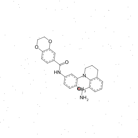 Cc1ccc(NC(=O)c2ccc3c(c2)OCCO3)cc1N1CCCc2cccc(C(N)=O)c21